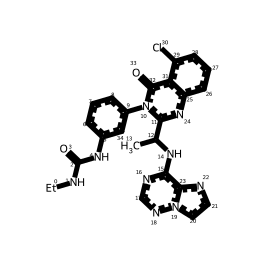 CCNC(=O)Nc1cccc(-n2c(C(C)Nc3ncnn4ccnc34)nc3cccc(Cl)c3c2=O)c1